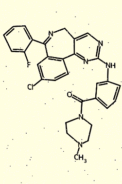 CN1CCN(C(=O)c2cccc(Nc3ncc4c(n3)-c3ccc(Cl)cc3C(c3ccccc3F)=NC4)c2)CC1